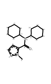 Cn1nccc1C(=O)N(C1CCCCC1)C1CCCCC1